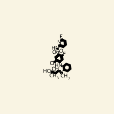 CN(CCC(C)(C)O)[C@H]1CCCC[C@@H]1Nc1cc(F)c(S(=O)(=O)Nc2cccc(F)n2)cc1Cl